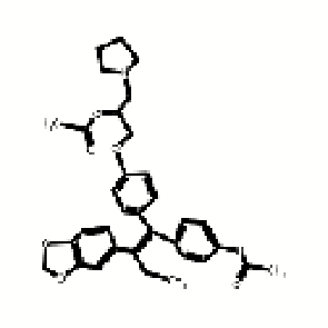 CC/C(=C(/c1ccc(OCC(CN2CCCC2)OC(C)=O)cc1)c1ccc(OC(C)=O)cc1)c1ccc2c(c1)OCO2